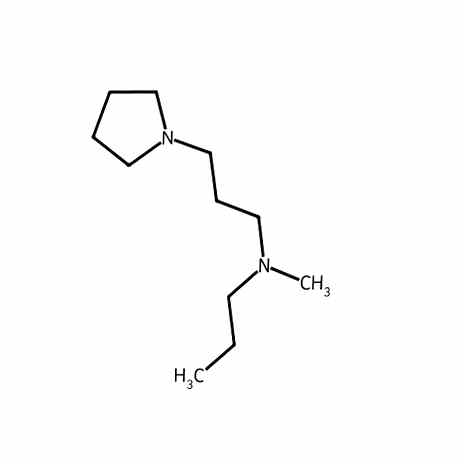 CCCN(C)CCCN1CCCC1